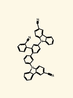 N#Cc1ccc2c(c1)c1ccccc1n2-c1cccc(-c2ccc(-n3c4ccccc4c4cc(C#N)ccc43)cc2-c2ccccc2C#N)c1